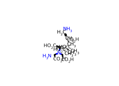 C=C.CC(=O)O.CC(=O)O.CC(=O)O.CC(=O)O.N.N.O=C(O)CN(CC(=O)O)CC(=O)O